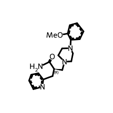 COc1ccccc1N1CCN(C[C@@H](Cc2ccccn2)C(N)=O)CC1